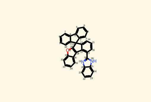 c1ccc2c(c1)-c1ccccc1C21c2cccc(-c3nc4ccccc4[nH]3)c2-c2c1oc1ccccc21